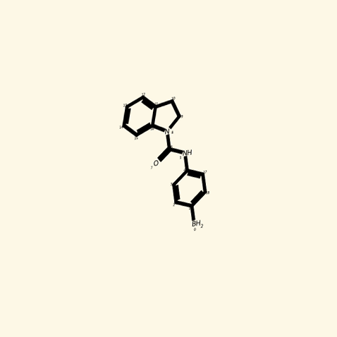 Bc1ccc(NC(=O)N2CCc3ccccc32)cc1